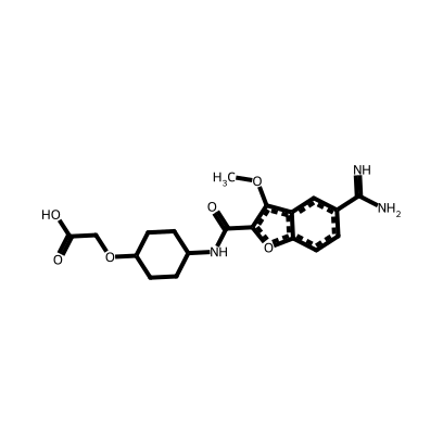 COc1c(C(=O)NC2CCC(OCC(=O)O)CC2)oc2ccc(C(=N)N)cc12